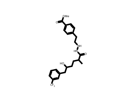 COC(=O)c1ccc(CCNNC(=O)C(C)CCC(O)Cc2cccc(C(F)(F)F)c2)cc1